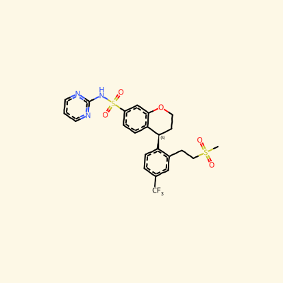 CS(=O)(=O)CCc1cc(C(F)(F)F)ccc1[C@@H]1CCOc2cc(S(=O)(=O)Nc3ncccn3)ccc21